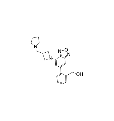 OCc1ccccc1-c1cc(N2CC(CN3CCCC3)C2)c2nonc2c1